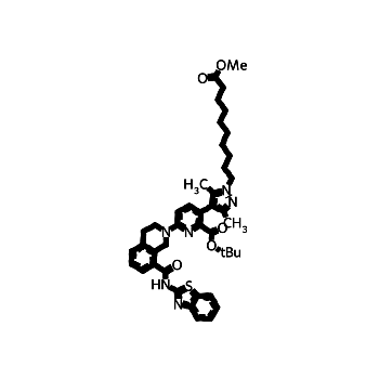 COC(=O)CCCCCCCCCn1nc(C)c(-c2ccc(N3CCc4cccc(C(=O)Nc5nc6ccccc6s5)c4C3)nc2C(=O)OC(C)(C)C)c1C